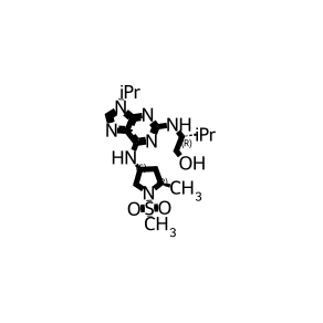 CC(C)[C@H](CO)Nc1nc(N[C@H]2C[C@@H](C)N(S(C)(=O)=O)C2)c2ncn(C(C)C)c2n1